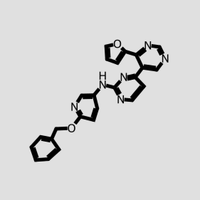 c1ccc(COc2ccc(Nc3nccc(-c4cncnc4-c4ccco4)n3)cn2)cc1